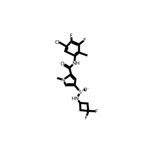 Cc1c(NC(=O)c2cc([S+]([O-])NC3CC(F)(F)C3)cn2C)cc(Cl)c(F)c1F